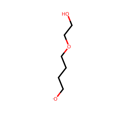 [O]CCCCOCCO